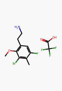 COc1c(CCN)cc(F)c(C)c1Br.O=C(O)C(F)(F)F